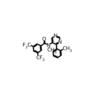 Cc1ccccc1-c1ncncc1N(C)C(=O)c1cc(C(F)(F)F)cc(C(F)(F)F)c1